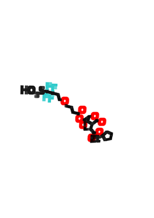 CCC1(OC(=O)C2C3OC4C(OC(=O)C42)C3OC(=O)CCCOCCC(F)(F)C(F)(F)S(=O)(=O)O)CCCC1